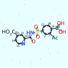 CC(=O)c1cc(S(=O)(=O)NC(=O)c2cc(C(=O)O)ccn2)ccc1B(O)O